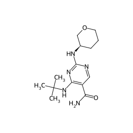 CC(C)(C)Nc1nc(N[C@@H]2CCCOC2)ncc1C(N)=O